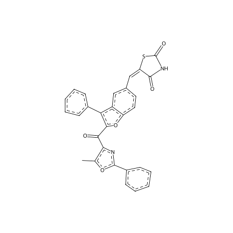 Cc1oc(-c2ccccc2)nc1C(=O)c1oc2ccc(C=C3SC(=O)NC3=O)cc2c1-c1ccccc1